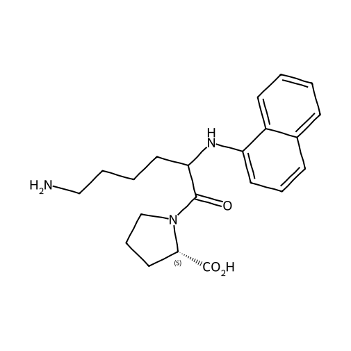 NCCCCC(Nc1cccc2ccccc12)C(=O)N1CCC[C@H]1C(=O)O